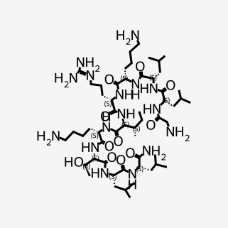 CC[C@H](C)[C@H](NC(=O)[C@H](CCCN=C(N)N)NC(=O)[C@H](CCCCN)NC(=O)[C@H](CC(C)C)NC(=O)[C@H](CC(C)C)NC(=O)CN)C(=O)N[C@@H](CCCCN)C(=O)N[C@H](C(=O)N[C@@H](CC(C)C)C(=O)N[C@@H](CC(C)C)C(N)=O)[C@@H](C)O